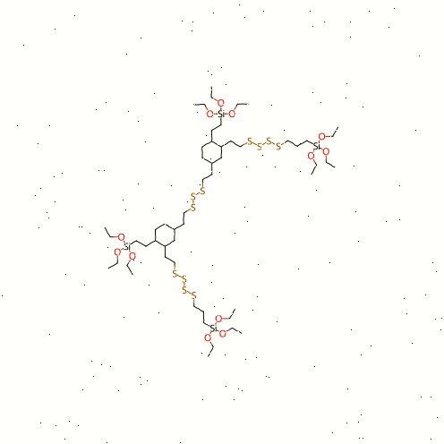 CCO[Si](CCCSSSSCCC1CC(CCSSSCCC2CCC(CC[Si](OCC)(OCC)OCC)C(CCSSSSCCC[Si](OCC)(OCC)OCC)C2)CCC1CC[Si](OCC)(OCC)OCC)(OCC)OCC